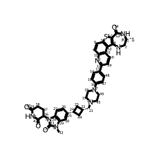 C[C@@H]1CNc2c(sc3ccc4nc(-c5ccc(N6CCN(C[C@H]7C[C@@H](c8ccc9c(c8)n(C)c(=O)n9C8CCC(=O)NC8=O)C7)CC6)cc5)ccc4c23)C(=O)N1